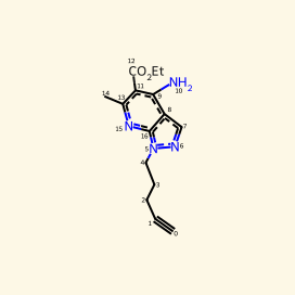 C#CCCCn1ncc2c(N)c(C(=O)OCC)c(C)nc21